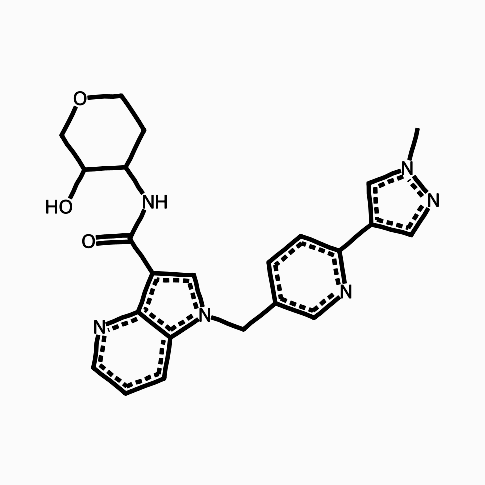 Cn1cc(-c2ccc(Cn3cc(C(=O)NC4CCOCC4O)c4ncccc43)cn2)cn1